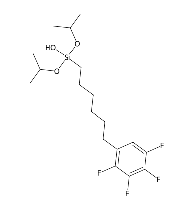 CC(C)O[Si](O)(CCCCCCc1cc(F)c(F)c(F)c1F)OC(C)C